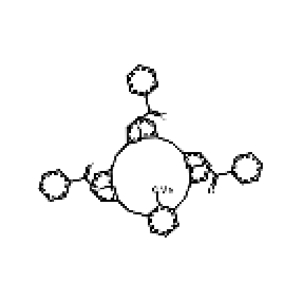 COc1c2cccc1Cc1cccc(c1OC(=O)c1ccccc1)Cc1cccc(c1OC(=O)c1ccccc1)Cc1cccc(c1OC(=O)c1ccccc1)C2